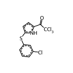 O=C(c1ccc(Sc2cccc(Cl)c2)[nH]1)C(Cl)(Cl)Cl